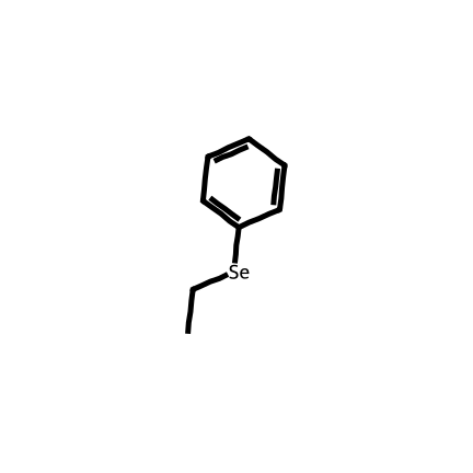 CC[Se]c1ccccc1